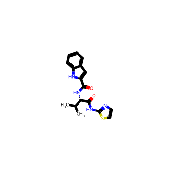 CC(C)[C@H](NC(=O)c1cc2ccccc2[nH]1)C(=O)Nc1nccs1